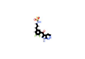 O=C(C1=CNC2N=NC=CC12)c1cc(CCCN[SH](=O)=O)cc(F)c1F